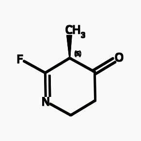 C[C@H]1C(=O)CCN=C1F